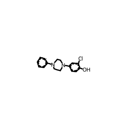 Oc1ccc(N2CCN(c3[c]cccc3)CC2)cc1Cl